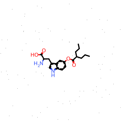 CCCC(CCC)C(=O)Oc1ccc2[nH]cc(CC(N)C(=O)O)c2c1